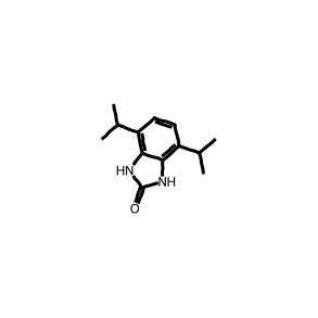 CC(C)c1ccc(C(C)C)c2[nH]c(=O)[nH]c12